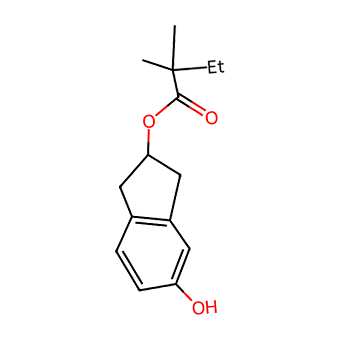 CCC(C)(C)C(=O)OC1Cc2ccc(O)cc2C1